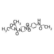 C=CC(=O)Nc1ccc(S(=O)(=O)N2CCN(C(=O)N3C[C@@H](C)O[C@@H](C)C3)CC2)cc1